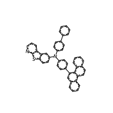 c1ccc(-c2ccc(N(c3ccc(-c4cc5ccccc5c5ccc6ccccc6c45)cc3)c3ccc4sc5ncccc5c4c3)cc2)cc1